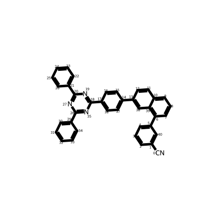 N#Cc1cccc(-c2cccc3ccc(-c4ccc(-c5nc(-c6ccccc6)nc(-c6ccccc6)n5)cc4)cc23)c1